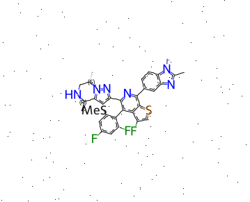 CSc1cc(F)cc(F)c1-c1c(-c2cc3n(n2)[C@@H](C)CN[C@@H]3C)nc(-c2ccc3c(c2)nc(C)n3C)c2scc(F)c12